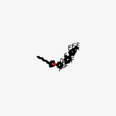 CCCCCCc1ccc(-c2cc(F)c(OC(F)(F)c3cc(F)c(-c4ccc(C(F)(F)F)c(F)c4)c(F)c3)c(Cl)c2)cc1